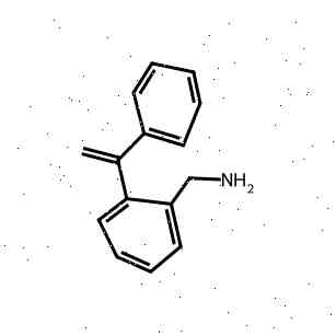 C=C(c1ccccc1)c1ccccc1CN